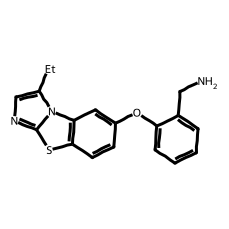 CCc1cnc2sc3ccc(Oc4ccccc4CN)cc3n12